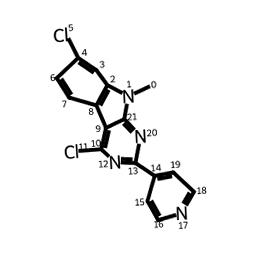 Cn1c2cc(Cl)ccc2c2c(Cl)nc(-c3ccncc3)nc21